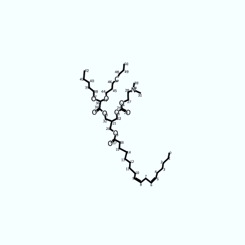 CCCCC/C=C\C/C=C\CCCCCCCC(=O)OCC(COC(=O)OCCN(C)C)COC(=O)C(OCCCCC)OCCCCCCC